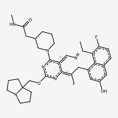 C=N/C=c1/c(N2CCCC(CC(=O)NC)C2)nc(OCC23CCCN2CCC3)n/c1=C(\F)Cc1cc(O)cc2ccc(F)c(CC)c12